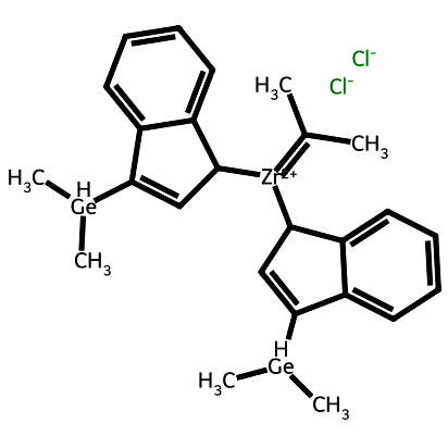 C[C](C)=[Zr+2]([CH]1C=[C]([GeH]([CH3])[CH3])c2ccccc21)[CH]1C=[C]([GeH]([CH3])[CH3])c2ccccc21.[Cl-].[Cl-]